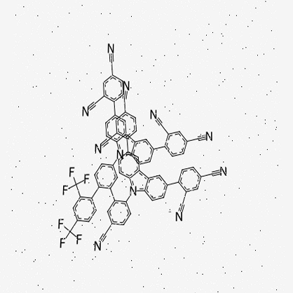 N#Cc1ccc(-c2ccc3c(c2)c2cc(-c4ccc(C#N)cc4C#N)ccc2n3-c2ccc(-c3ccc(C(F)(F)F)cc3C(F)(F)F)c(-c3cc(C#N)ccc3-n3c4ccc(-c5ccc(C#N)cc5C#N)cc4c4cc(-c5ccc(C#N)cc5C#N)ccc43)c2)c(C#N)c1